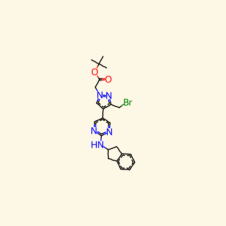 CC(C)(C)OC(=O)Cn1cc(-c2cnc(NC3Cc4ccccc4C3)nc2)c(CBr)n1